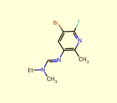 CCN(C)C=Nc1cc(Br)c(F)nc1C